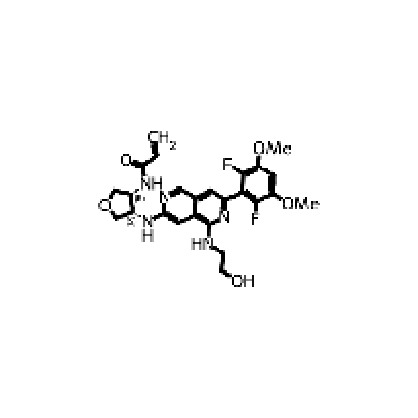 C=CC(=O)N[C@H]1COC[C@H]1Nc1cc2c(NCCO)nc(-c3c(F)c(OC)cc(OC)c3F)cc2cn1